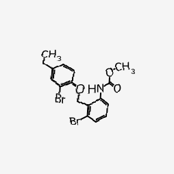 CCc1ccc(OCc2c(Br)cccc2NC(=O)OC)c(Br)c1